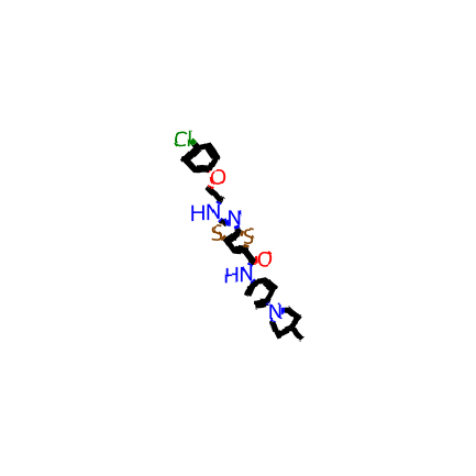 C=C(/C=C\C(=C)N1CCC(C)CC1)NC(=O)c1cc2sc(NCCOc3ccc(Cl)cc3)nc2s1